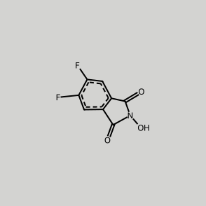 O=C1c2cc(F)c(F)cc2C(=O)N1O